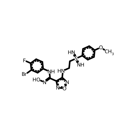 COc1ccc(S(=N)(=N)CCNc2nonc2/C(=N/O)Nc2ccc(F)c(Br)c2)cc1